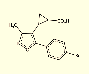 Cc1noc(-c2ccc(Br)cc2)c1C1CC1C(=O)O